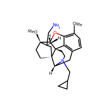 COc1ccc2c3c1O[C@H]1[C@@]4(OC)CC[C@@]5(C[C@H]4CN)[C@@H](C2)N(CC2CC2)CC[C@]315